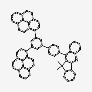 CC1(C)c2ccccc2-c2nc3ccccc3c(-c3ccc(-c4cc(-c5ccc6ccc7cccc8ccc5c6c78)cc(-c5ccc6ccc7cccc8ccc5c6c78)c4)cc3)c21